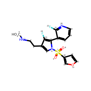 O=C(O)NCCc1cn(S(=O)(=O)c2ccoc2)c(-c2cccnc2F)c1F